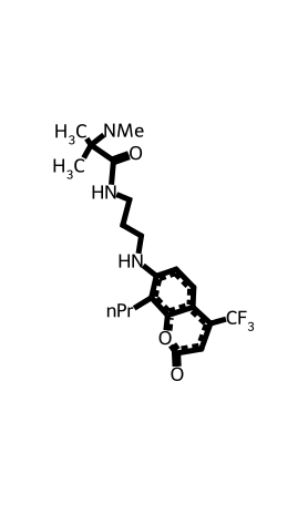 CCCc1c(NCCCNC(=O)C(C)(C)NC)ccc2c(C(F)(F)F)cc(=O)oc12